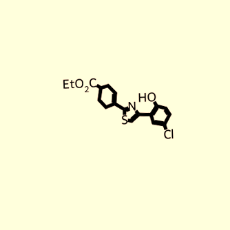 CCOC(=O)C1CC=C(c2nc(-c3cc(Cl)ccc3O)cs2)CC1